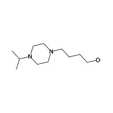 CC(C)N1CCN(CCCC[O])CC1